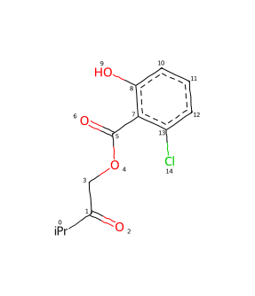 CC(C)C(=O)COC(=O)c1c(O)cccc1Cl